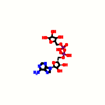 Nc1ncnc2c1ncn2[C@@H]1O[C@H](COP(=O)(O)OP(=O)(O)OC[C@H]2O[C@@H](O)C(O)C2O)[C@H](O)C1O